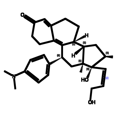 C[C@@H]1C[C@H]2[C@@H]3CCC4=CC(=O)CCC4=C3[C@@H](c3ccc(N(C)C)cc3)C[C@]2(C)[C@]1(O)/C=C\CO